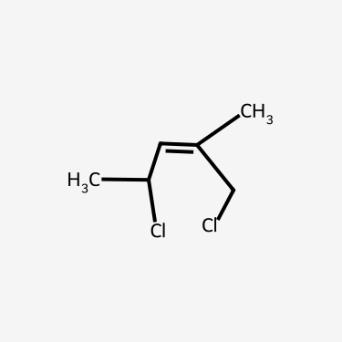 CC(=CC(C)Cl)CCl